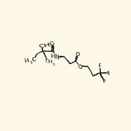 CCC(C)(C)C(=O)NCCC(=O)OCCC(F)(F)F